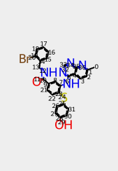 Cc1ccc2c(Nc3cc(C(=O)NCc4ccccc4Br)ccc3Sc3ccc(O)cc3)ncnc2n1